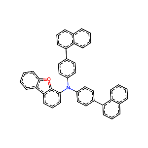 c1ccc2c(-c3ccc(N(c4ccc(-c5cccc6ccccc56)cc4)c4cccc5c4oc4ccccc45)cc3)cccc2c1